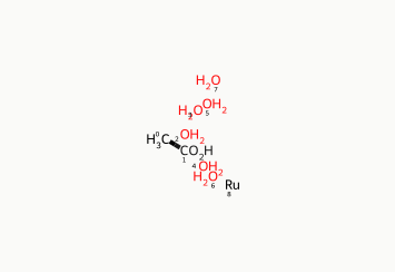 CC(=O)O.O.O.O.O.O.O.[Ru]